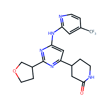 O=C1CC(c2cc(Nc3cc(C(F)(F)F)ccn3)nc(C3CCOC3)n2)CCN1